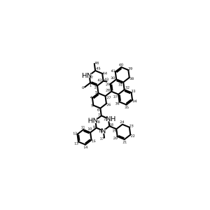 CC1=C(C2=CCC(C3NC(c4ccccc4)N(C)C(C4C=CCCC4)N3)CC2c2cc3c(c4ccccc24)CCC=C3)C(C)CC(C)N1